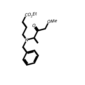 CCOC(=O)CCCN(Cc1ccccc1)C(C)C(=O)COC